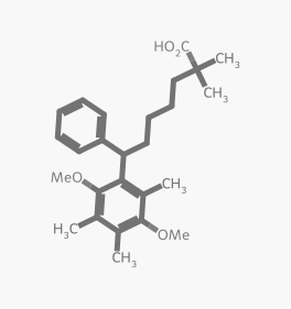 COc1c(C)c(C)c(OC)c(C(CCCCC(C)(C)C(=O)O)c2ccccc2)c1C